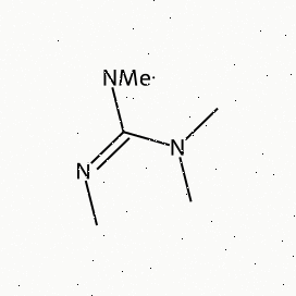 C[N]C(=NC)N(C)C